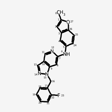 Cc1cc2cc(Nc3cc4c(cn3)cnn4Cc3ccccc3F)ccc2o1